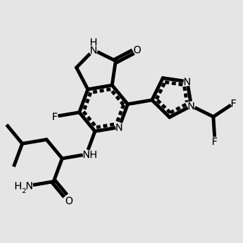 CC(C)CC(Nc1nc(-c2cnn(C(F)F)c2)c2c(c1F)CNC2=O)C(N)=O